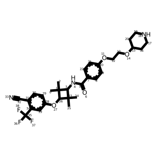 CC1(C)C(NC(=O)c2ccc(OCCOC3CCNCC3)cc2)C(C)(C)C1Oc1ccc(C#N)c(C(F)(F)F)c1